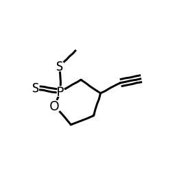 C#CC1CCOP(=S)(SC)C1